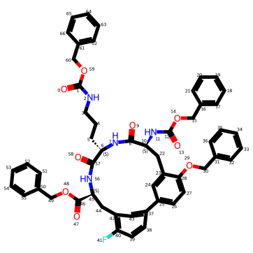 O=C(NCCC[C@@H]1NC(=O)[C@@H](NC(=O)OCc2ccccc2)Cc2cc(ccc2OCc2ccccc2)-c2ccc(F)c(c2)C[C@@H](C(=O)OCc2ccccc2)NC1=O)OCc1ccccc1